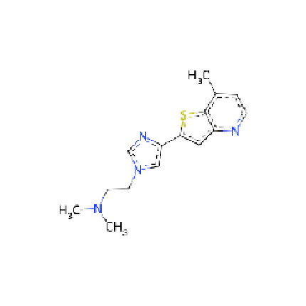 Cc1ccnc2cc(-c3cn(CCN(C)C)cn3)sc12